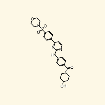 O=C(c1ccc(Nc2nccc(-c3ccc(S(=O)(=O)N4CCOCC4)cc3)n2)cc1)N1CCC(O)CC1